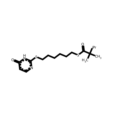 CC(C)C(C)(C)C(=O)SCCCCCCSc1nccc(=O)[nH]1